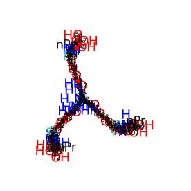 CCC[C@H]1O[C@H](CO)[C@H](O)[C@H](O)[C@H]1Nc1cncc(C(F)(F)COCCOCCOCCNC(=O)NCCCC(N)(CCCNC(=O)NCCOCCOCCOCC(F)(F)c2cncc(N[C@@H]3[C@@H](O)[C@@H](O)[C@@H](CO)O[C@@H]3CCC)n2)CCCNC(=O)NCCOCCOCCOCC(F)(F)c2cncc(N[C@@H]3[C@@H](O)[C@@H](O)[C@@H](CO)O[C@@H]3CCC)n2)n1